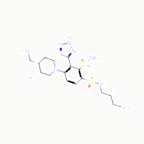 NC[C@@H](O)CNS(=O)(=O)c1ccc(N2CC[C@H](CN)[C@@H](O)C2)c(-c2nn[nH]n2)c1S(N)(=O)=O